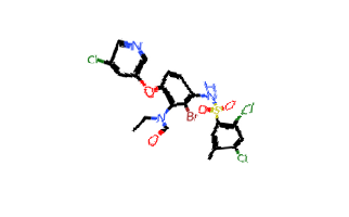 CCN(C=O)c1c(Oc2cncc(Cl)c2)ccc(NS(=O)(=O)c2cc(C)c(Cl)cc2Cl)c1Br